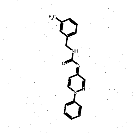 O=C(/N=c1\ccn(-c2ccccc2)nc1)NCc1cccc(C(F)(F)F)c1